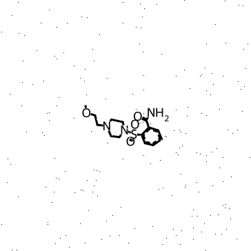 COCCN1CCN(S(=O)(=O)c2ccccc2C(N)=O)CC1